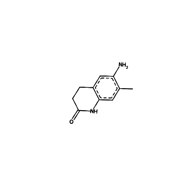 Cc1cc2c(cc1N)CCC(=O)N2